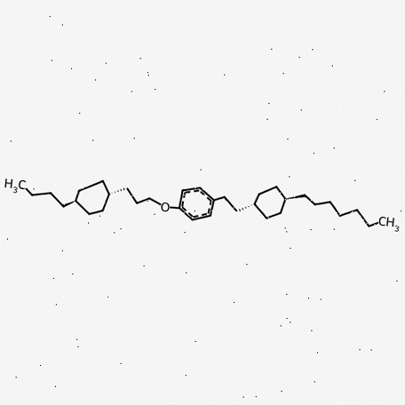 CCCCCCC[C@H]1CC[C@H](CCc2ccc(OCCC[C@H]3CC[C@H](CCCC)CC3)cc2)CC1